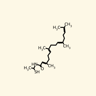 CC(C)=CCCC(C)=CCCC(C)=CCCC(C)=CC(=O)NC(C)S